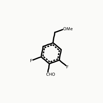 COCc1cc(F)c(C=O)c(F)c1